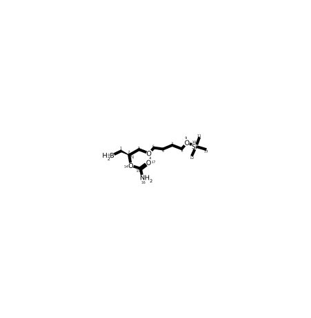 BC[C@@H](COCCCCO[Si](C)(C)C)OC(N)=O